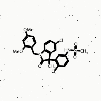 COc1ccc(CN2C(=O)C(C)(c3cc(NS(C)(=O)=O)ccc3Cl)c3cc(Cl)ccc32)c(OC)c1